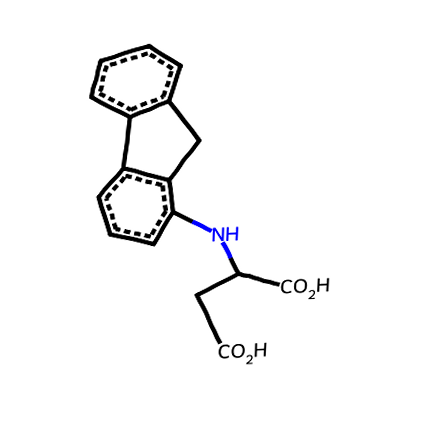 O=C(O)CC(Nc1cccc2c1Cc1ccccc1-2)C(=O)O